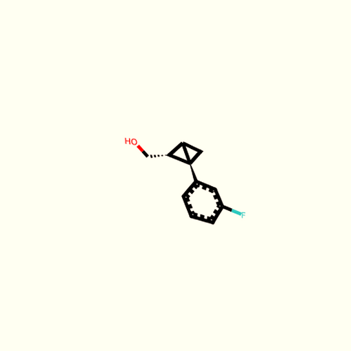 OC[C@@H]1C2C[C@@]21c1cccc(F)c1